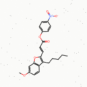 CCCCCc1c(C=CC(=O)Oc2ccc([N+](=O)[O-])cc2)oc2cc(OC)ccc12